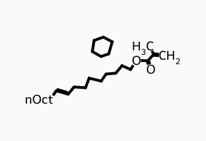 C1CCCCC1.C=C(C)C(=O)OCCCCCCCCC=CCCCCCCCC